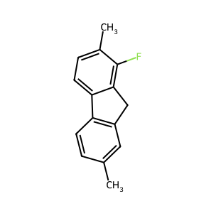 Cc1ccc2c(c1)Cc1c-2ccc(C)c1F